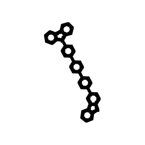 c1ccc2c(c1)sc1ccc(-c3ccc(-c4ccc(-c5ccc(-n6c7ccccc7c7ccccc76)cc5)cc4)cc3)cc12